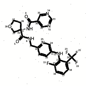 O=C(N[C@@]1(C(=O)NCc2ccc(Nc3c(F)cccc3C(F)(F)F)cn2)CCOC1)c1cncnc1